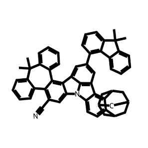 CC1(C)c2ccccc2-c2c(C#N)cc3c(c2-c2ccccc21)c1cc(-c2cccc4c2-c2ccccc2C4(C)C)cc2c4c5c(ccc4n3c12)C1CC2CC(C1)CC5C2